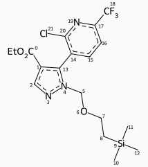 CCOC(=O)c1cnn(COCC[Si](C)(C)C)c1-c1ccc(C(F)(F)F)nc1Cl